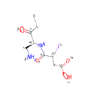 CCC(=O)[C@H](CN)NC(=O)C(I)CC(=O)O